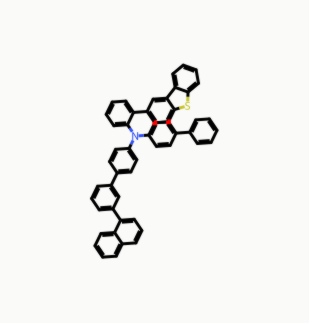 c1ccc(-c2ccc(N(c3ccc(-c4cccc(-c5cccc6ccccc56)c4)cc3)c3ccccc3-c3ccc4sc5ccccc5c4c3)cc2)cc1